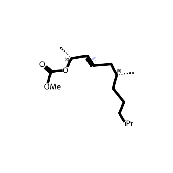 COC(=O)O[C@H](C)/C=C/C[C@H](C)CCCC(C)C